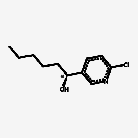 CCCCC[C@H](O)c1ccc(Cl)nc1